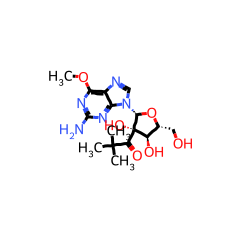 COc1nc(N)nc2c1ncn2[C@@H]1O[C@H](CO)[C@@H](O)[C@@]1(O)C(=O)C(C)(C)C